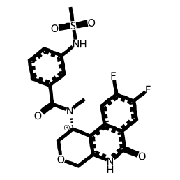 CN(C(=O)c1cccc(NS(C)(=O)=O)c1)[C@H]1COCc2[nH]c(=O)c3cc(F)c(F)cc3c21